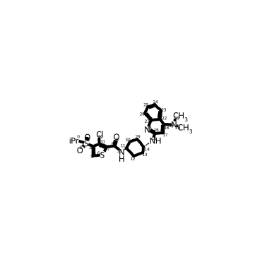 CC(C)S(=O)(=O)c1csc(C(=O)N[C@H]2CC[C@@H](Nc3cc(N(C)C)c4ccccc4n3)CC2)c1Cl